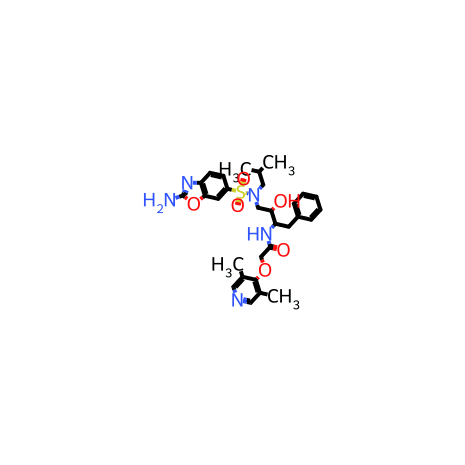 Cc1cncc(C)c1OCC(=O)NC(Cc1ccccc1)C(O)CN(CC(C)C)S(=O)(=O)c1ccc2nc(N)oc2c1